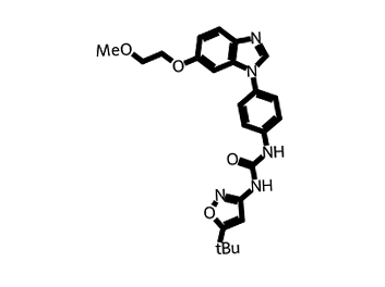 COCCOc1ccc2ncn(-c3ccc(NC(=O)Nc4cc(C(C)(C)C)on4)cc3)c2c1